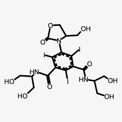 O=C(NC(CO)CO)c1c(I)c(C(=O)NC(CO)CO)c(I)c(N2C(=O)OCC2CO)c1I